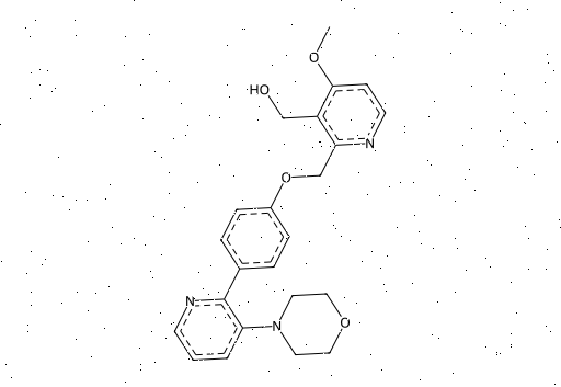 COc1ccnc(COc2ccc(-c3ncccc3N3CCOCC3)cc2)c1CO